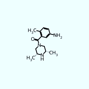 Cc1ccc(N)cc1C(=O)N1C[C@@H](C)N[C@@H](C)C1